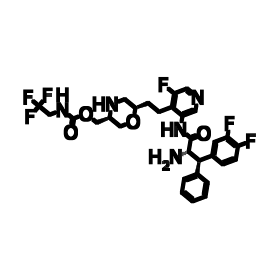 N[C@H](C(=O)Nc1cncc(F)c1CC[C@@H]1CN[C@H](COC(=O)NCC(F)(F)F)CO1)[C@H](c1ccccc1)c1ccc(F)c(F)c1